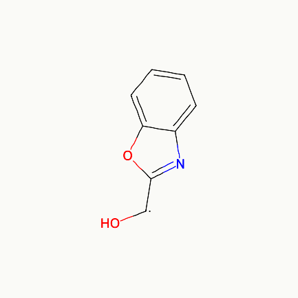 O[CH]c1nc2ccccc2o1